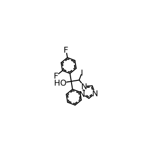 OC(c1ccccc1)(c1ccc(F)cc1F)C(I)n1cncn1